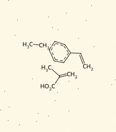 C=C(C)C(=O)O.C=Cc1ccccc1.CC